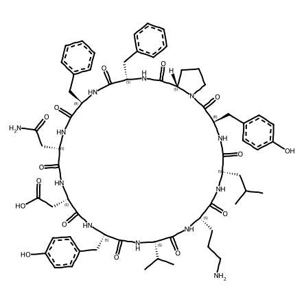 CC(C)C[C@@H]1NC(=O)[C@H](CCCN)NC(=O)[C@H](C(C)C)NC(=O)[C@H](Cc2ccc(O)cc2)NC(=O)[C@H](CC(=O)O)NC(=O)[C@H](CC(N)=O)NC(=O)[C@@H](Cc2ccccc2)NC(=O)[C@H](Cc2ccccc2)NC(=O)[C@@H]2CCCN2C(=O)[C@@H](Cc2ccc(O)cc2)NC1=O